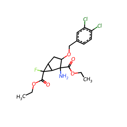 CCOC(=O)C1(N)C(OCc2ccc(Cl)c(Cl)c2)CC2C1C2(F)C(=O)OCC